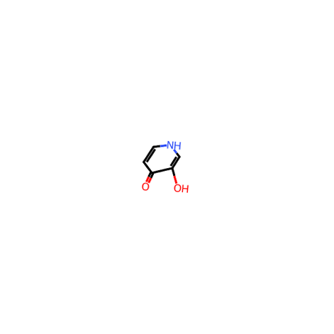 O=c1cc[nH]cc1O